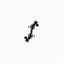 Cc1onc(-c2ccc(S(=O)(=O)NC(=O)OCCSSCCOC(=O)NS(=O)(=O)c3ccc(-c4noc(C)c4-c4ccccc4)cc3)cc2)c1-c1ccccc1